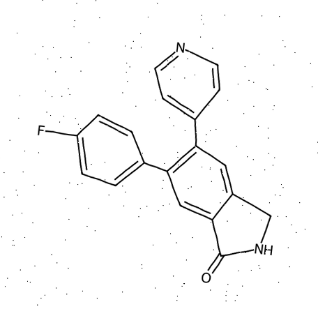 O=C1NCc2cc(-c3ccncc3)c(-c3ccc(F)cc3)cc21